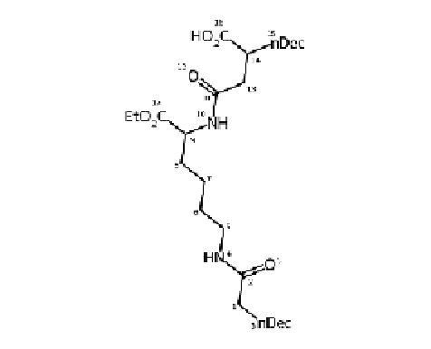 CCCCCCCCCCCC(=O)NCCCCC(NC(=O)CC(CCCCCCCCCC)C(=O)O)C(=O)OCC